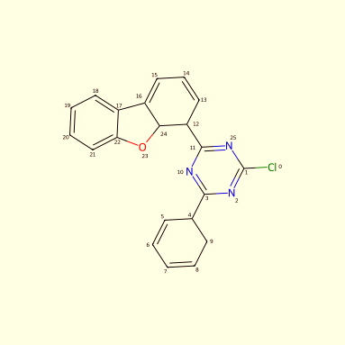 Clc1nc(C2C=CC=CC2)nc(C2C=CC=C3c4ccccc4OC32)n1